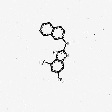 FC(F)(F)c1cc(C(F)(F)F)c2[nH]c(Nc3ccc4ccccc4c3)nc2c1